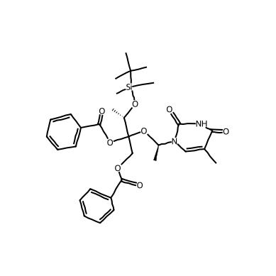 Cc1cn([C@@H](C)OC(COC(=O)c2ccccc2)(OC(=O)c2ccccc2)[C@H](C)O[Si](C)(C)C(C)(C)C)c(=O)[nH]c1=O